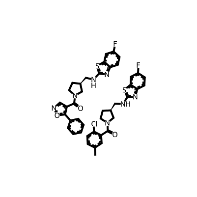 Cc1ccc(Cl)c(C(=O)N2CC[C@@H](CNc3nc4ccc(F)cc4s3)C2)c1.O=C(c1cnoc1-c1ccccc1)N1CC[C@@H](CNc2nc3ccc(F)cc3s2)C1